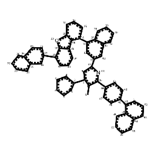 Cc1c(-c2ccccc2)cc(-c2cc(-c3cccc4oc5c(-c6ccc7ccccc7c6)cccc5c34)c3ccccc3c2)nc1-c1ccc(-c2cccc3ccccc23)cc1